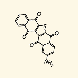 Nc1ccc2c(=O)c3sc4c(=O)c5ccccc5c(=O)c4c3c(=O)c2c1